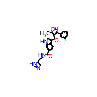 Cc1onc(-c2cccc(F)c2)c1C(=O)c1c[nH]c2cc(C(=O)NCCC3CN=CN3)ccc12